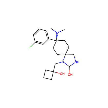 CN(C)[C@]1(c2cccc(F)c2)CC[C@]2(CC1)CNC(O)N2CC1(O)CCC1